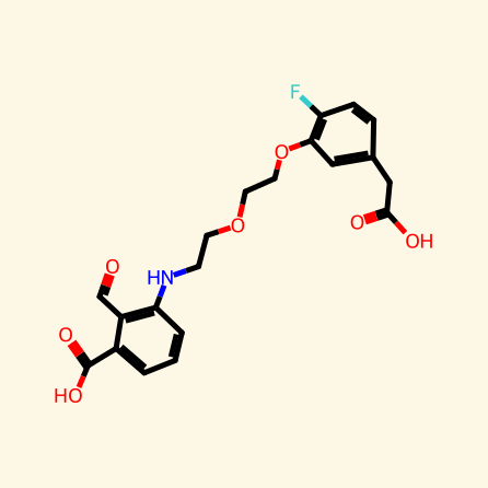 O=Cc1c(NCCOCCOc2cc(CC(=O)O)ccc2F)cccc1C(=O)O